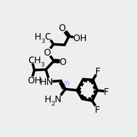 CC(CC(=O)O)OC(=O)C(N/C=C(\N)c1cc(F)c(F)c(F)c1)C(C)O